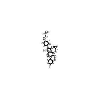 O=C(Nc1ccc(I)cc1F)[C@H](CC1CC1)N1C(=O)N[C@H](c2ccc(OCCO)cc2)C1=O